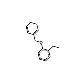 CCc1ccccc1OCC1=C[C][C]C=C1